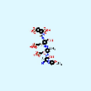 COc1ccc2nc3c(C#N)c(C)c(N=Nc4cc(C)c(N=Nc5cc(CO)c(N=Nc6nc7c(S(=O)(=O)O)cc8ccc(S(=O)(=O)O)cc8c7s6)cc5SCCCS(=O)(=O)O)cc4OCCCS(=O)(=O)O)c(O)n3c2c1